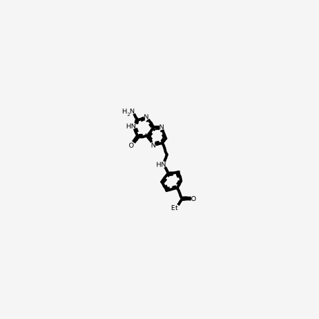 CCC(=O)c1ccc(NCc2cnc3nc(N)[nH]c(=O)c3n2)cc1